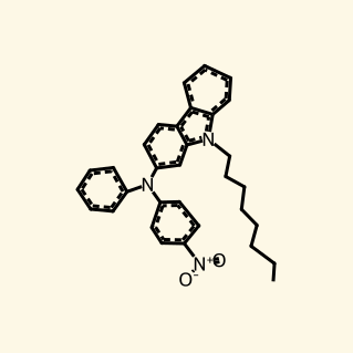 CCCCCCCCn1c2ccccc2c2ccc(N(c3ccccc3)c3ccc([N+](=O)[O-])cc3)cc21